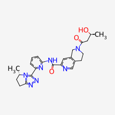 C[C@H](O)CC(=O)N1CCc2cnc(C(=O)Nc3cccc(-c4nnc5n4[C@@H](C)CC5)n3)cc2C1